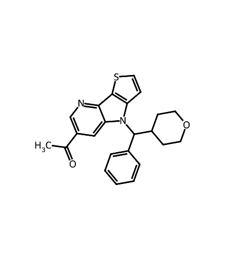 CC(=O)c1cnc2c3sccc3n(C(c3ccccc3)C3CCOCC3)c2c1